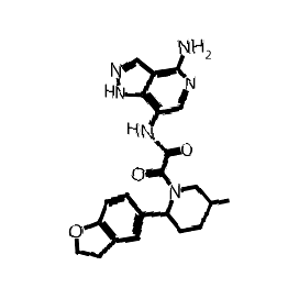 CC1CCC(c2ccc3c(c2)CCO3)N(C(=O)C(=O)Nc2cnc(N)c3cn[nH]c23)C1